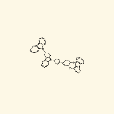 c1ccc2c(c1)c1ccccc1n2-c1ccc2c(c1)c1ccccc1n2-c1ccc(-c2ccc3c(c2)Oc2cccc4c5ccccc5n-3c24)cc1